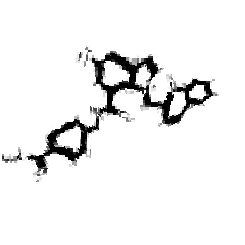 COC(=O)c1ccc(CNC(=O)c2cc(C(F)(F)F)cc3ccn(Cc4ccc5ccccc5n4)c23)cc1